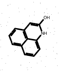 OC1=Cc2cccc3cccc(c23)N1